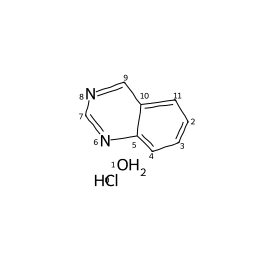 Cl.O.c1ccc2ncncc2c1